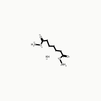 NOC(=O)CCCCCC(=O)ON.[KH]